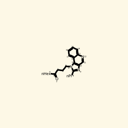 CCCCCCC(=O)CCCn1c(CCC)nc2cnc3ccccc3c21